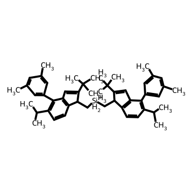 Cc1cc(C)cc(-c2c(C(C)C)ccc3c2C=C(C(C)(C)C)C3C[SiH2]CC2C(C(C)(C)C)=Cc3c2ccc(C(C)C)c3-c2cc(C)cc(C)c2)c1